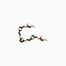 C=CC(=O)SCC1CSC(CCSc2ccc(SCCC3SCC(CSC(=O)C=C)S3)s2)S1